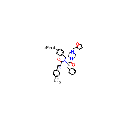 CCCCCc1ccc(CN(C(=O)/C=C/c2ccc(C(F)(F)F)cc2)[C@@H](Cc2ccccc2)C(=O)N2CCN(Cc3ccco3)CC2)cc1